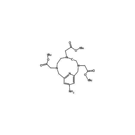 CC(C)(C)OC(=O)CN1CCN(CC(=O)OC(C)(C)C)Cc2cc(N)cc(n2)CN(CC(=O)OC(C)(C)C)CC1